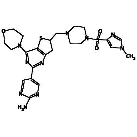 Cn1cnc(S(=O)(=O)N2CCN(CC3Cc4nc(-c5cnc(N)nc5)nc(N5CCOCC5)c4S3)CC2)c1